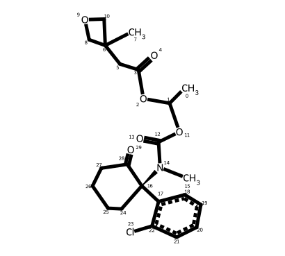 CC(OC(=O)CC1(C)COC1)OC(=O)N(C)[C@@]1(c2ccccc2Cl)CCCCC1=O